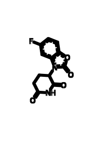 O=C1CCC(n2c(=O)oc3ccc(F)cc32)C(=O)N1